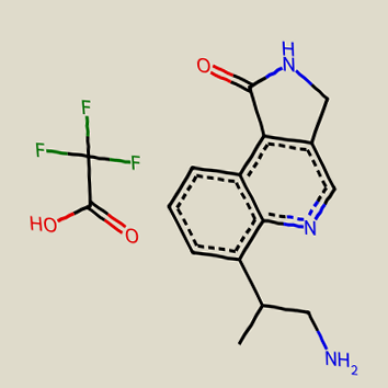 CC(CN)c1cccc2c3c(cnc12)CNC3=O.O=C(O)C(F)(F)F